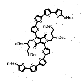 CCCCCCCCCCCCC(CCCCCCCCCC)CN1C(=O)C2=C(c3ccc(-c4ccc(-c5ccc(-c6ccc(CCCCCC)s6)s5)s4)s3)N(CC(CCCCCCCCCC)CCCCCCCCCCCC)C(=O)C2=C1C1=CCC(c2ccc(-c3ccc(-c4ccc(CCCCCC)s4)s3)s2)S1